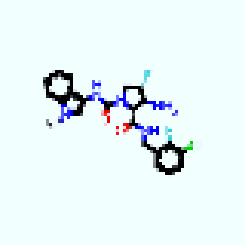 CC(=O)n1cc(NC(=O)N2C[C@H](F)[C@@H](N)[C@H]2C(=O)NCc2cccc(Cl)c2F)c2ccccc21